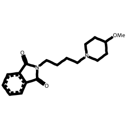 COC1CCN(CCCCN2C(=O)c3ccccc3C2=O)CC1